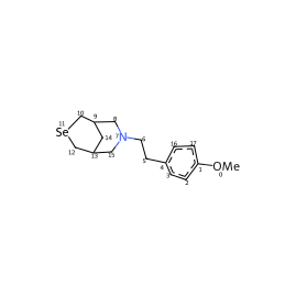 COc1ccc(CCN2CC3C[Se]CC(C3)C2)cc1